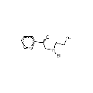 CCN(CCO)CC(=O)c1ccccc1